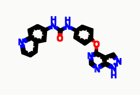 O=C(Nc1ccc(Oc2ncnc3[nH]ncc23)cc1)Nc1ccc2ncccc2c1